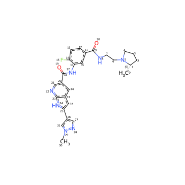 C[C@H]1CCCN1CCNC(=O)c1ccc(F)c(NC(=O)c2cnc3[nH]c(-c4cnn(C)c4)cc3c2)c1